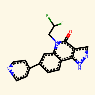 O=c1c2cn[nH]c2c2ccc(-c3ccncc3)cc2n1CC(F)F